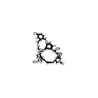 CO[C@H]1/C=C/CC2CN(C(C)=O)C[C@H]2S(=O)(=O)NC(=O)c2ccc3c(c2)N(CCCCc2cc(Cl)ccc2CO3)C[C@@H]2CC[C@H]21